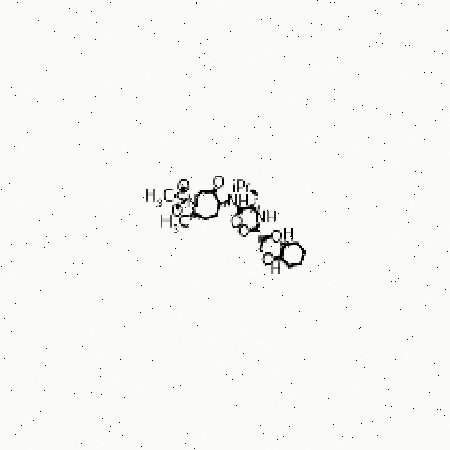 CC(C)C[C@H](NC(=O)[C@H]1CO[C@@H]2CCCC[C@H]2O1)C(=O)N[C@H]1CC[C@@H](C)N(S(C)(=O)=O)CC1=O